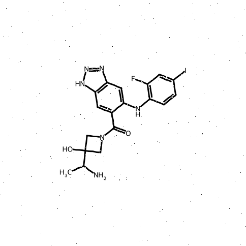 CC(N)C1(O)CN(C(=O)c2cc3[nH]nnc3cc2Nc2ccc(I)cc2F)C1